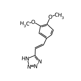 COc1ccc(C=Cc2nnn[nH]2)cc1OC